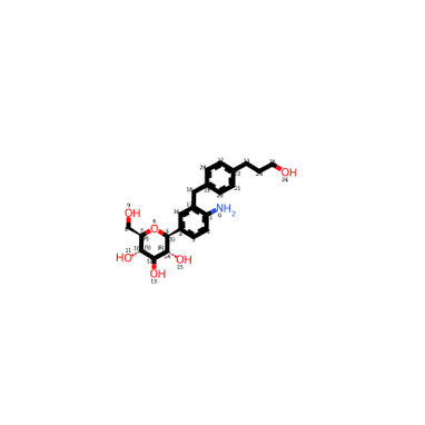 Nc1ccc([C@@H]2O[C@H](CO)[C@@H](O)C(O)[C@H]2O)cc1Cc1ccc(CCCO)cc1